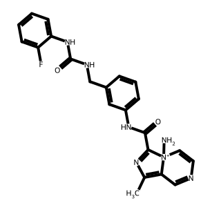 CC1=C2C=NC=C[N+]2(N)C(C(=O)Nc2cccc(CNC(=O)Nc3ccccc3F)c2)=N1